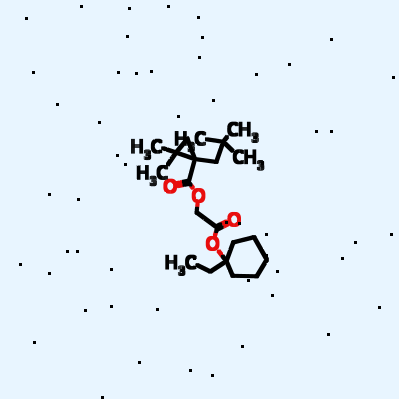 CCC1(OC(=O)COC(=O)C2(CC(C)(C)C)CC2(C)C)CCCCC1